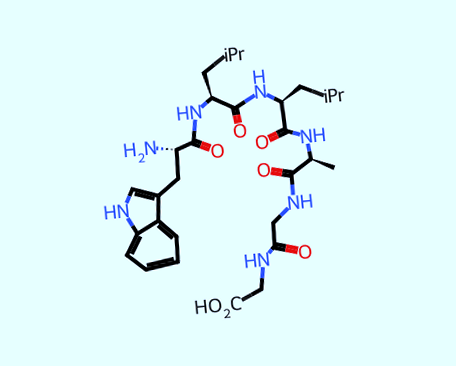 CC(C)C[C@H](NC(=O)[C@H](CC(C)C)NC(=O)[C@@H](N)Cc1c[nH]c2ccccc12)C(=O)N[C@@H](C)C(=O)NCC(=O)NCC(=O)O